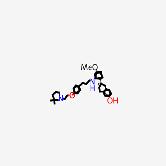 COc1ccc([C@H]2CCc3cc(O)ccc3C2)c(NCCCc2ccc(OCCN3CCCC(C)(C)C3)cc2)c1